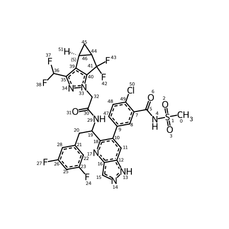 CS(=O)(=O)NC(=O)c1cc(-c2cc3[nH]ncc3nc2C(Cc2cc(F)cc(F)c2)NC(=O)Cn2nc(C(F)F)c3c2C(F)(F)C2C[C@H]32)ccc1Cl